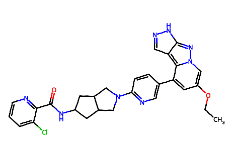 CCOc1cc(-c2ccc(N3CC4CC(NC(=O)c5ncccc5Cl)CC4C3)nc2)c2c3cn[nH]c3nn2c1